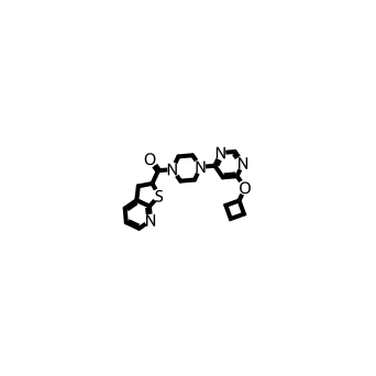 O=C(C1Cc2cccnc2S1)N1CCN(c2cc(OC3CCC3)ncn2)CC1